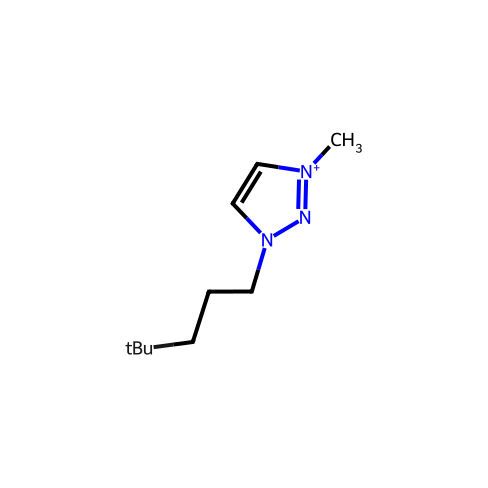 C[n+]1ccn(CCCC(C)(C)C)n1